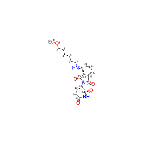 CCOCCCCCCNc1cccc2c1C(=O)N(C1CCC(=O)NC1=O)C2=O